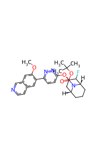 COc1cc2cnccc2cc1-c1ccc(O[C@@H]2C[C@H]3CCC[C@@H]([C@@H]2F)N3C(=O)OC(C)(C)C)nn1